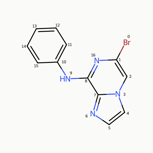 Brc1cn2ccnc2c(Nc2ccccc2)n1